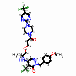 COc1ccc(Cn2ncc(N[C@@H](C)COCCC(=O)N3CCN(c4ncc(C(F)(F)F)cn4)CC3)c(C(F)(F)F)c2=O)cc1